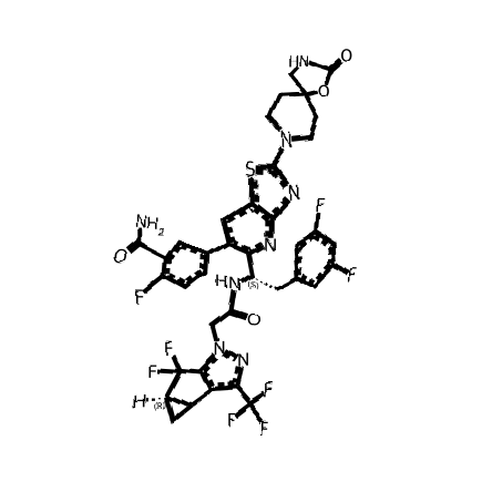 NC(=O)c1cc(-c2cc3sc(N4CCC5(CC4)CNC(=O)O5)nc3nc2[C@H](Cc2cc(F)cc(F)c2)NC(=O)Cn2nc(C(F)(F)F)c3c2C(F)(F)[C@@H]2CC32)ccc1F